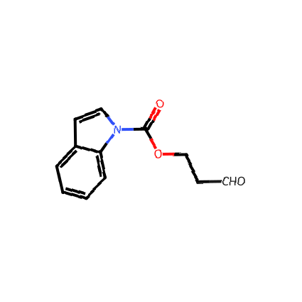 O=CCCOC(=O)n1ccc2ccccc21